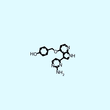 Nc1nccc(-c2c[nH]c3nccc(OCc4ccc(O)cc4)c23)n1